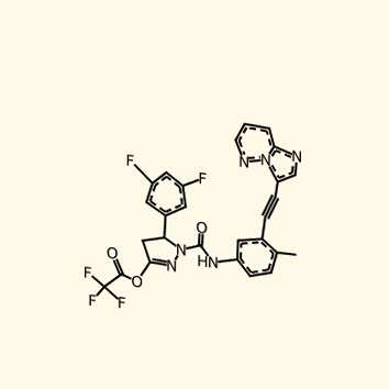 Cc1ccc(NC(=O)N2N=C(OC(=O)C(F)(F)F)CC2c2cc(F)cc(F)c2)cc1C#Cc1cnc2cccnn12